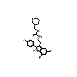 O=C(NCCc1c(-c2ccc(F)cc2)[nH]c2c(F)cc(F)cc12)NCC1CCCOC1